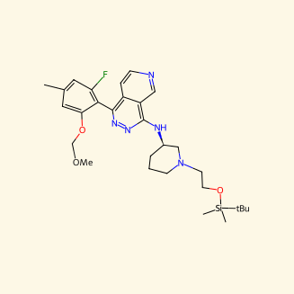 COCOc1cc(C)cc(F)c1-c1nnc(N[C@@H]2CCCN(CCO[Si](C)(C)C(C)(C)C)C2)c2cnccc12